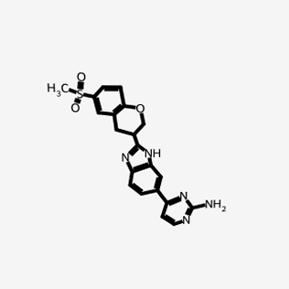 CS(=O)(=O)c1ccc2c(c1)CC(c1nc3ccc(-c4ccnc(N)n4)cc3[nH]1)CO2